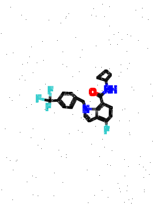 O=C(NC1CCC1)c1ccc(F)c2ccn(Cc3ccc(C(F)(F)F)cc3)c12